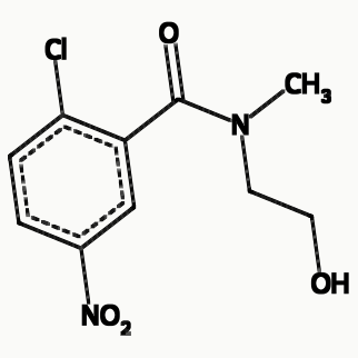 CN(CCO)C(=O)c1cc([N+](=O)[O-])ccc1Cl